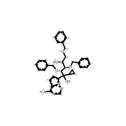 Nc1ncnn2c(C(O)(C3CC3)[C@H](OCc3ccccc3)[C@H](OCc3ccccc3)[C@@H](O)COCc3ccccc3)ccc12